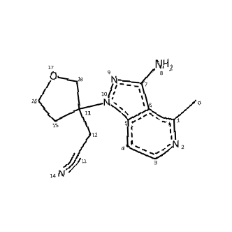 Cc1nccc2c1c(N)nn2C1(CC#N)CCOC1